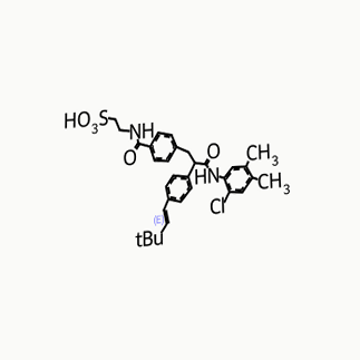 Cc1cc(Cl)c(NC(=O)C(Cc2ccc(C(=O)NCCS(=O)(=O)O)cc2)c2ccc(/C=C/C(C)(C)C)cc2)cc1C